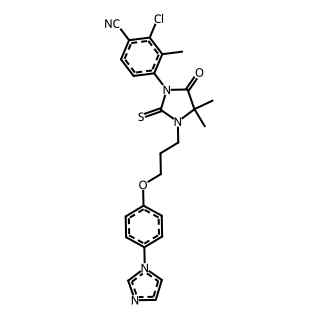 Cc1c(N2C(=O)C(C)(C)N(CCCOc3ccc(-n4ccnc4)cc3)C2=S)ccc(C#N)c1Cl